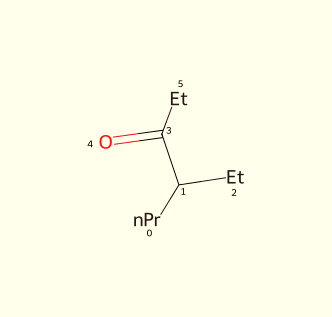 CCCC(CC)C(=O)CC